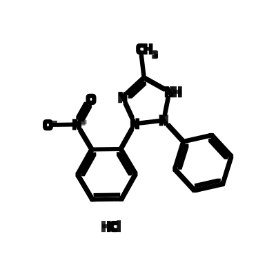 CC1=NN(c2ccccc2[N+](=O)[O-])N(c2ccccc2)N1.Cl